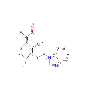 CC(C)=C(CCN1C=NC2C=CC=CC21)C(=O)/C(C)=C(/C)C=O